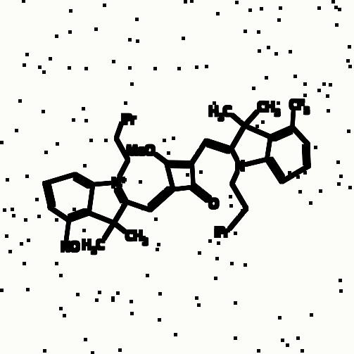 COC1=C(/C=C2\N(CCC(C)C)c3cccc(C(F)(F)F)c3C2(C)C)C(=O)/C1=C/C1=[N+](CCC(C)C)c2cccc(N=O)c2C1(C)C